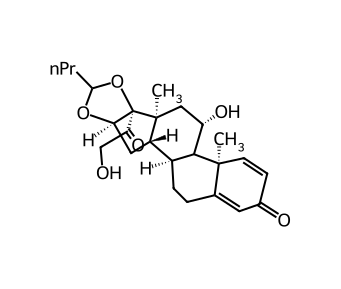 CCCC1O[C@@H]2C[C@H]3[C@@H]4CCC5=CC(=O)C=C[C@]5(C)C4[C@@H](O)C[C@]3(C)[C@]2(C(=O)CO)O1